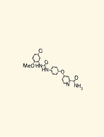 COc1ccc(Cl)cc1NC(=O)Nc1ccc(Oc2ccnc(C(N)=O)c2)cc1